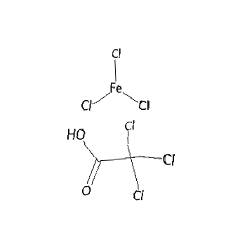 O=C(O)C(Cl)(Cl)Cl.[Cl][Fe]([Cl])[Cl]